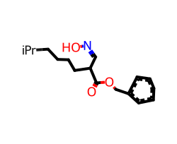 CC(C)CCCCC(/C=N\O)C(=O)OCc1ccccc1